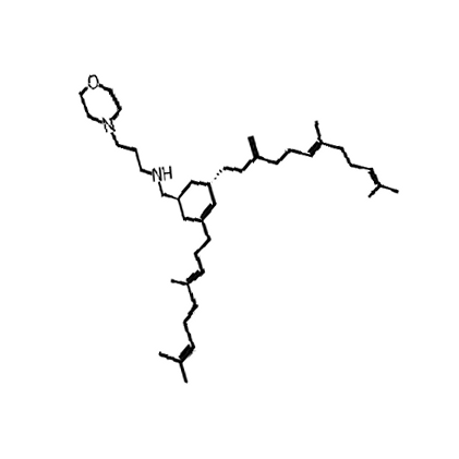 C=C(CC/C=C(\C)CCC=C(C)C)CC[C@@H]1C=C(CC/C=C(\C)CCC=C(C)C)C[C@@H](CNCCCN2CCOCC2)C1